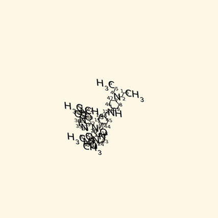 CCCN(CCC)[C@H]1CC[C@H](NCc2ccc(C(=O)N(Cc3nccn3S(=O)(=O)N(C)C)Cc3nccn3S(=O)(=O)N(C)C)cc2)CC1